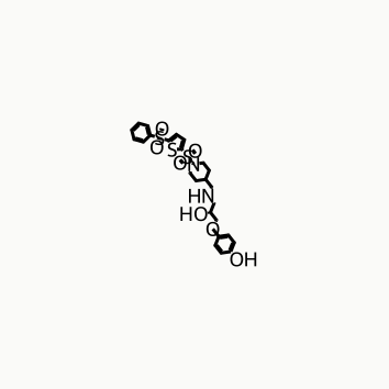 O=S(=O)(c1ccccc1)c1ccc(S(=O)(=O)N2CCC(CNC[C@H](O)COc3ccc(O)cc3)CC2)s1